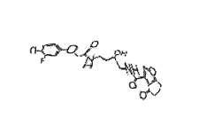 O=C(COc1ccc(Cl)c(F)c1)NCCC(O)CNC(=O)c1coc2c1C(=O)CCC2